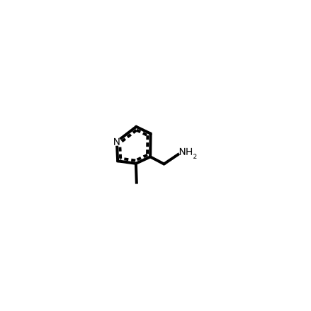 Cc1cnccc1CN